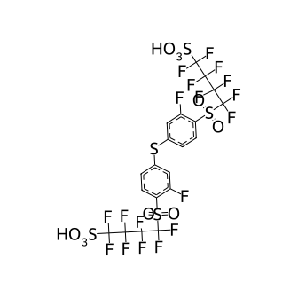 O=S(=O)(O)C(F)(F)C(F)(F)C(F)(F)C(F)(F)S(=O)(=O)c1ccc(Sc2ccc(S(=O)(=O)C(F)(F)C(F)(F)C(F)(F)C(F)(F)S(=O)(=O)O)c(F)c2)cc1F